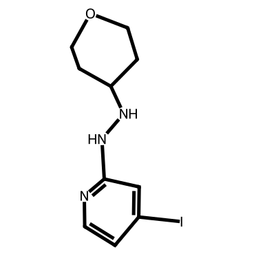 Ic1ccnc(NNC2CCOCC2)c1